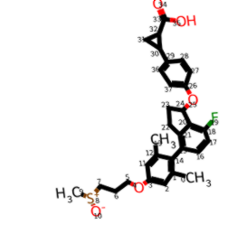 Cc1cc(OCCC[S+](C)[O-])cc(C)c1-c1ccc(F)c2c1CCC2Oc1ccc(C2CC2C(=O)O)cc1